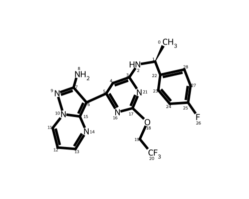 C[C@H](Nc1cc(-c2c(N)nn3cccnc23)nc(OCC(F)(F)F)n1)c1ccc(F)cc1